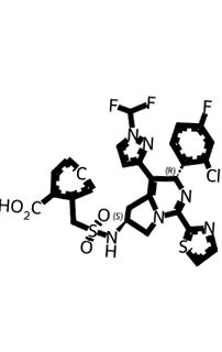 O=C(O)c1ccccc1CS(=O)(=O)N[C@H]1CC2=C(c3ccn(C(F)F)n3)[C@H](c3ccc(F)cc3Cl)N=C(c3nccs3)N2C1